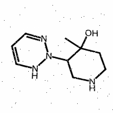 CC1(O)CCNCC1N1N=CC=CN1